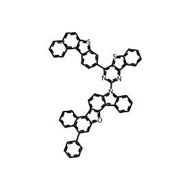 c1ccc(-c2cc3oc4c(ccc5c4c4ccccc4n5-c4nc(-c5ccc6c(c5)sc5ccc7ccccc7c56)c5sc6ccccc6c5n4)c3c3ccccc23)cc1